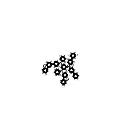 c1ccc(-c2ccc(N(c3ccc(-c4ccccc4)cc3)c3cc(N(c4ccccc4)c4ccc(-c5ccc6oc7ccccc7c6c5)cc4)cc(N(c4ccccc4)c4ccc5oc6ccccc6c5c4)c3)cc2)cc1